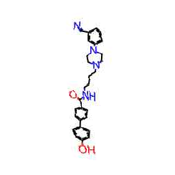 N#Cc1cccc(N2CCN(CCCCNC(=O)c3ccc(-c4ccc(O)cc4)cc3)CC2)c1